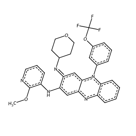 COc1ncccc1Nc1cc2nc3ccccc3n(-c3cccc(OC(F)(F)F)c3)c-2cc1=NC1CCOCC1